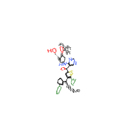 CN[C@@H](c1cccc(Cl)c1)c1cc(C(=O)c2cncnc2N[C@@H]2C[C@H](CO)[C@@H](O[Si](C(C)C)(C(C)C)C(C)C)C2)sc1Cl